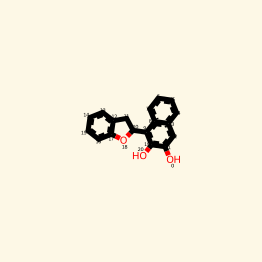 Oc1cc2ccccc2c(C2Cc3ccccc3O2)c1O